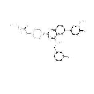 CNC(=O)CN1CCN(c2nc(NCc3cccc(Cl)c3)c3cc(-c4ccc(=O)n(C)c4)ccc3n2)CC1